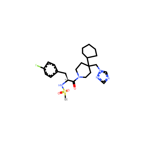 CCS(=O)(=O)N[C@@H](Cc1ccc(F)cc1)C(=O)N1CCC(Cn2cncn2)(C2CCCCC2)CC1